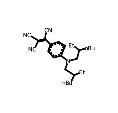 CCCCC(CC)CN(CC(CC)CCCC)c1ccc(C(C#N)=C(C#N)C#N)cc1